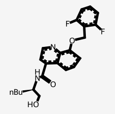 CCCC[C@H](CO)NC(=O)c1ccnc2c(OCc3c(F)cccc3F)cccc12